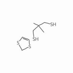 C1=CSCS1.CC(C)(CS)CS